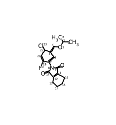 CC(C)OC=C1C=C(N2C(=O)C3=C(CCCC3)C2=O)C(F)=CC1Cl